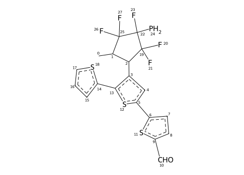 CC1C(c2cc(-c3ccc(C=O)s3)sc2-c2cccs2)C(F)(F)C(F)(P)C1(F)F